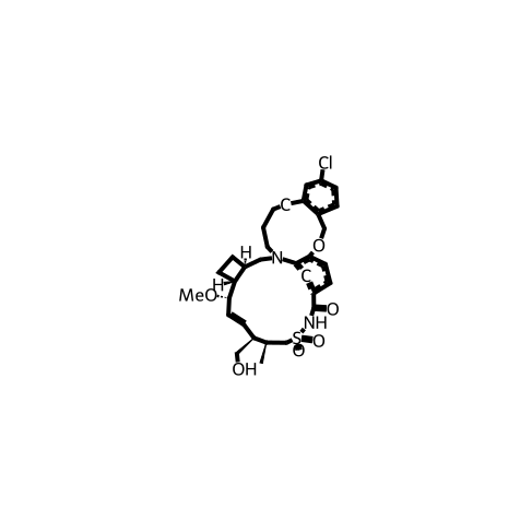 CO[C@H]1/C=C/[C@H](CO)[C@H](C)CS(=O)(=O)NC(=O)c2ccc3c(c2)N(CCCCc2cc(Cl)ccc2CO3)C[C@@H]2CC[C@H]21